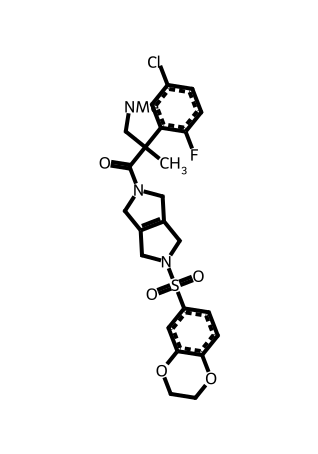 CNCC(C)(C(=O)N1CC2=C(C1)CN(S(=O)(=O)c1ccc3c(c1)OCCO3)C2)c1cc(Cl)ccc1F